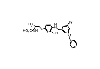 CC(CCc1ccc(NCc2cc(OCc3ccccc3)cc(C(C)C)c2)c(O)c1)NC(=O)O